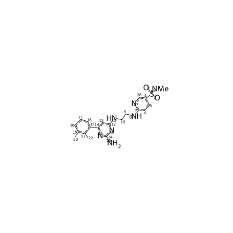 CNS(=O)(=O)c1ccc(NCCNc2cc(-c3cccc(C)c3C)nc(N)n2)nc1